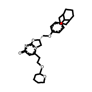 O=c1cc(CCOC2CCCCO2)n2c(n1)O[C@H](COc1ccc(C3C4CCCC3CCC4)cc1)C2